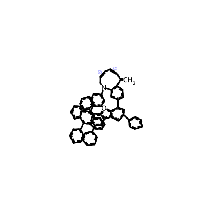 C=C1/C=C\C=C/CN(c2ccc(-c3c4ccccc4c(-c4ccccc4)c4ccccc34)cc2)c2cc(-c3cc(-c4ccccc4)cc4c3oc3c(-c5ccccc5)cc(-c5ccccc5)cc34)ccc21